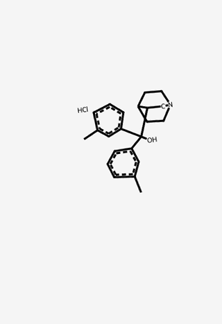 Cc1cccc(C(O)(c2cccc(C)c2)C2CN3CCC2CC3)c1.Cl